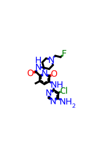 Cc1cc(Nc2ncnc(N)c2Cl)c(=O)n2c1C(=O)NC21CCN(CCF)CC1